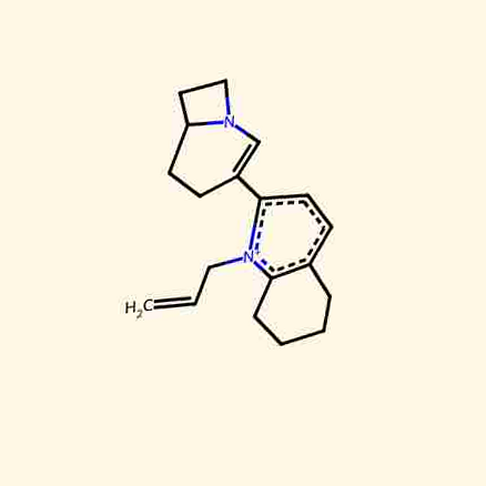 C=CC[n+]1c(C2=CN3CCC3CC2)ccc2c1CCCC2